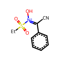 CCS(=O)(=O)[N+](O)=C(C#N)c1ccccc1